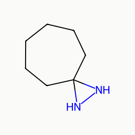 C1CCCC2(CC1)NN2